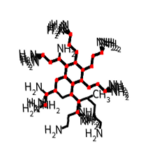 CC(CCCN)C(CCCN)C(CCCN)C(CCCN)C(CCCN)C(CCCN)C(CCCN)C(CCCN)C(CCCN)C(CCCN)C(CCCN)C(CCCN)C(CCCN)C(CCCN)C(CCCN)C(CCCN)C(CCCN)C(CCCN)C(CCCN)C(CCCN)C(CCCN)C(CCCN)C(CCCN)C(CCCN)C(CCCN)C(CCCN)C(CCCN)CCCCN